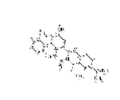 CCCN1C(=O)C(=O)N(C(CC(=O)O)c2cccnc2C)CC1Oc1ccc(C(=N)N)cc1